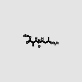 CCCCOC(=O)C(C)N[PH](=O)NCC(C)C(=O)OCC